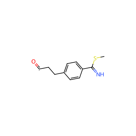 CSC(=N)c1ccc(CC[C]=O)cc1